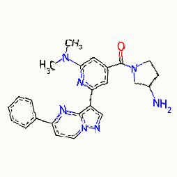 CN(C)c1cc(C(=O)N2CCC(N)C2)cc(-c2cnn3ccc(-c4ccccc4)nc23)n1